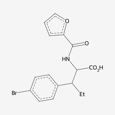 CCC(c1ccc(Br)cc1)C(NC(=O)c1ccco1)C(=O)O